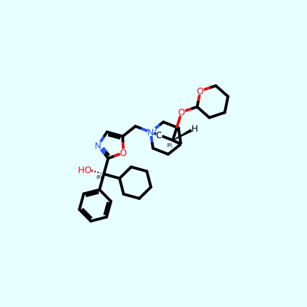 O[C@](c1ccccc1)(c1ncc(C[N+]23CCC(CC2)[C@@H](OC2CCCCO2)C3)o1)C1CCCCC1